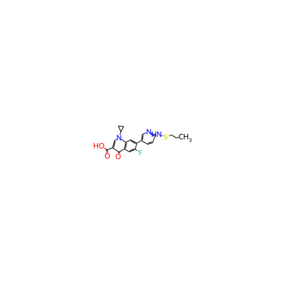 CCCSNc1ccc(-c2cc3c(cc2F)c(=O)c(C(=O)O)cn3C2CC2)cn1